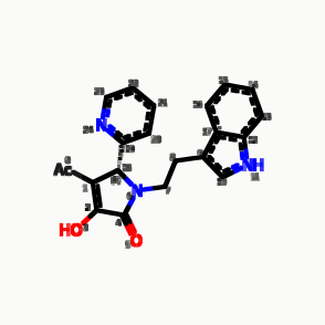 CC(=O)C1=C(O)C(=O)N(CCc2c[nH]c3ccccc23)[C@H]1c1ccccn1